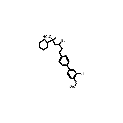 CCCCCCCCCCOc1ccc(-c2ccc(CCC(CC)C[C@@](F)(C(=O)O)C3CCCCC3)cc2)cc1Cl